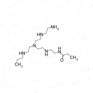 CCCNCCN(CCNCCN)CCNCCNC(=O)CC